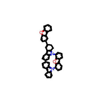 C1=C(c2ccc3oc4ccccc4c3c2)CCc2c1c1ccccc1n2-c1cccc2c1oc1c(-n3c4ccccc4c4ccccc43)cccc12